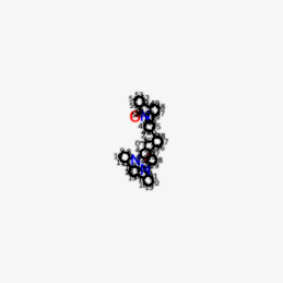 CC1(C)c2cc(-n3c4ccccc4c4ccc5c6ccccc6n(-c6ccccc6)c5c43)ccc2-c2cccc(-c3ccc4c(c3)c3cccc5c6ccccc6c(=O)n4c53)c21